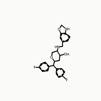 OC1CC(C(c2ccc(F)cc2)c2ccc(F)cc2)OCC1NCc1ccc2c(c1)OCN2